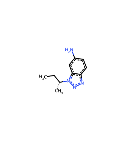 CC[C@@H](C)n1nnc2ccc(N)cc21